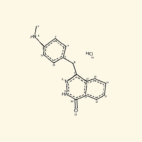 CNc1ccc(Cc2n[nH]c(=O)c3ccccc23)cc1.Cl